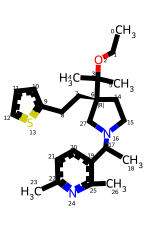 CCOC(C)(C)[C@]1(CCc2cccs2)CCN(C(C)c2ccc(C)nc2C)C1